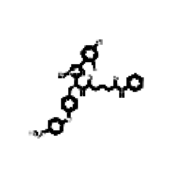 CCn1cc(-c2ccc(Cl)cc2Cl)nc1[C@H](Cc1ccc(Oc2ccc(C(=O)O)cc2)cc1)NC(=O)CCCC(=O)Nc1ccccc1